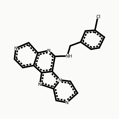 Clc1cccc(CNc2nc3cnccc3c3nc4cnccn4c23)c1